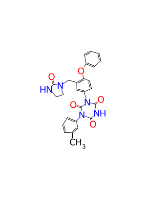 Cc1cccc(-n2c(=O)[nH]c(=O)n(-c3ccc(Oc4ccccc4)c(CN4CCNC4=O)c3)c2=O)c1